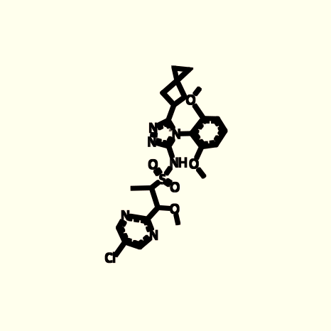 COc1cccc(OC)c1-n1c(NS(=O)(=O)C(C)C(OC)c2ncc(Cl)cn2)nnc1C1CC2(CC2)C1